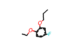 CCCOc1cc(F)ccc1OCC